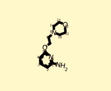 Nc1cccc(OCCN2CCOCC2)n1